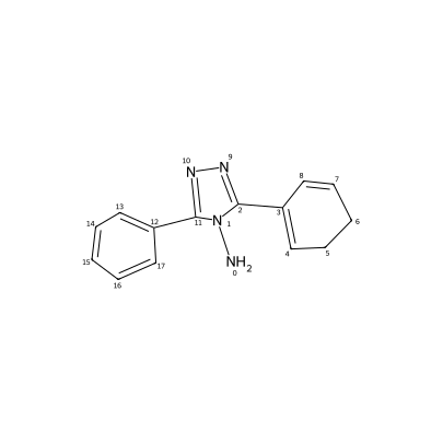 Nn1c(C2=CCCC=C2)nnc1-c1ccccc1